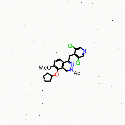 COc1ccc2c(c1OC1CCCC1)CN(C(C)=O)N=C2Cc1c(Cl)cncc1Cl